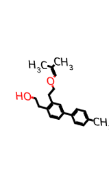 CC(C)=COCCc1cc(-c2ccc(C)cc2)ccc1CCO